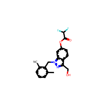 Cc1cccc(C#N)c1Cn1nc(CO)c2ccc(OC(=O)C(F)F)cc21